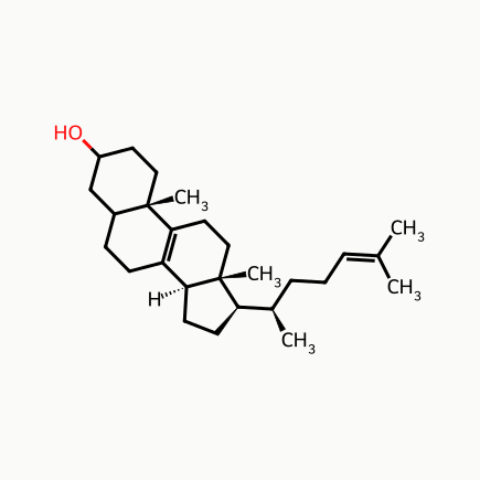 CC(C)=CCC[C@@H](C)[C@H]1CC[C@H]2C3=C(CC[C@]12C)[C@@]1(C)CCC(O)CC1CC3